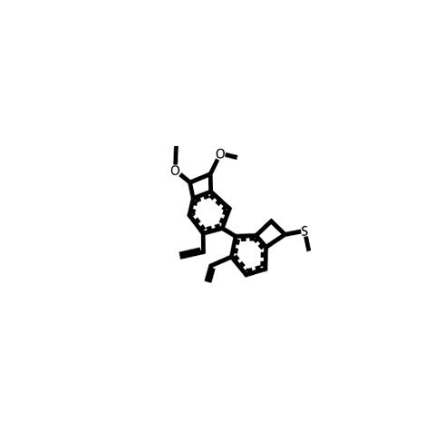 C=Cc1cc2c(cc1-c1c(C=C)ccc3c1CC3SC)C(OC)C2OC